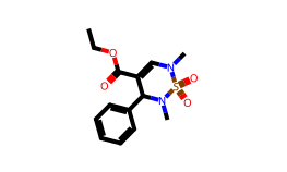 CCOC(=O)C1=CN(C)S(=O)(=O)N(C)C1c1ccccc1